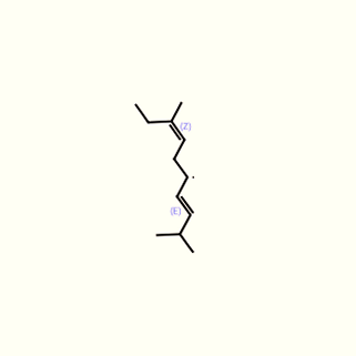 CC/C(C)=C\C[CH]/C=C/C(C)C